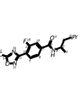 CC(C)CC(C)NC(=O)c1ccc(-c2noc(C(F)(F)F)n2)c(F)c1